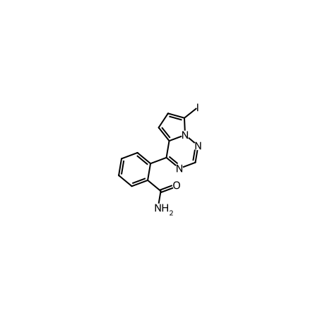 NC(=O)c1ccccc1-c1ncnn2c(I)ccc12